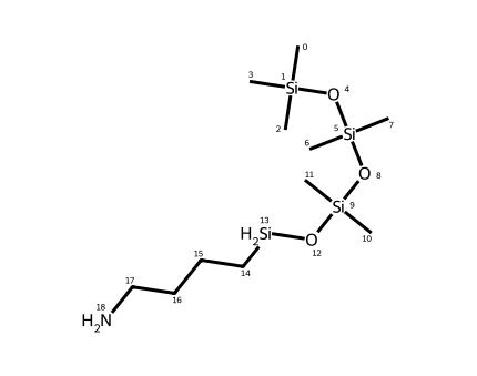 C[Si](C)(C)O[Si](C)(C)O[Si](C)(C)O[SiH2]CCCCN